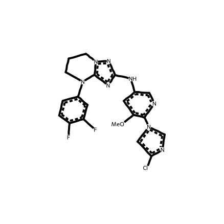 COc1cc(Nc2nc3n(n2)CCCN3c2ccc(F)c(F)c2)cnc1-n1cnc(Cl)c1